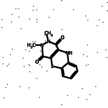 Cn1c(=O)c2c(c(=O)n1C)Sc1ccccc1N2